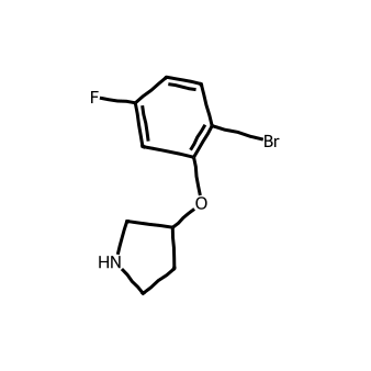 Fc1ccc(Br)c(OC2CCNC2)c1